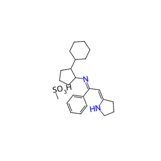 C(=C1CCCN1)C(=NC1CCCC1C1CCCCC1)c1ccccc1.CS(=O)(=O)O